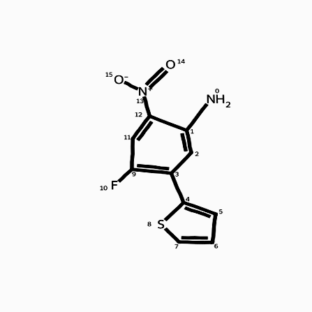 Nc1cc(-c2cccs2)c(F)cc1[N+](=O)[O-]